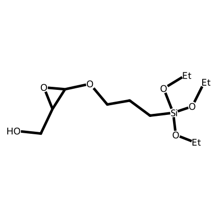 CCO[Si](CCCOC1OC1CO)(OCC)OCC